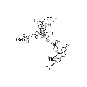 CC#C[C@]1(O)CCC2C3CCC4=CC(=O)CCC4=C3[C@@H](c3ccc(N(C)CCO[C@H]4CC[C@@]5(C)[C@@H](C4)C[C@@H](OC(=O)CCCNC(=O)OC(C)(C)C)[C@@H]4[C@@H]5C[C@H](O)[C@]5(C)[C@@H]([C@H](C)CCC(=O)O)CC[C@@H]45)cc3)C[C@@]21C